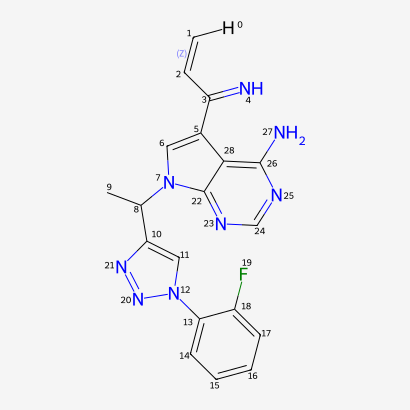 [H]/C=C\C(=N)c1cn(C(C)c2cn(-c3ccccc3F)nn2)c2ncnc(N)c12